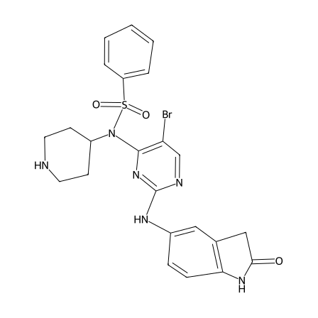 O=C1Cc2cc(Nc3ncc(Br)c(N(C4CCNCC4)S(=O)(=O)c4ccccc4)n3)ccc2N1